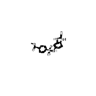 COC(=O)c1ccc(S(=O)(=O)Nc2ccc3[nH]c(=O)[nH]c3c2)cc1